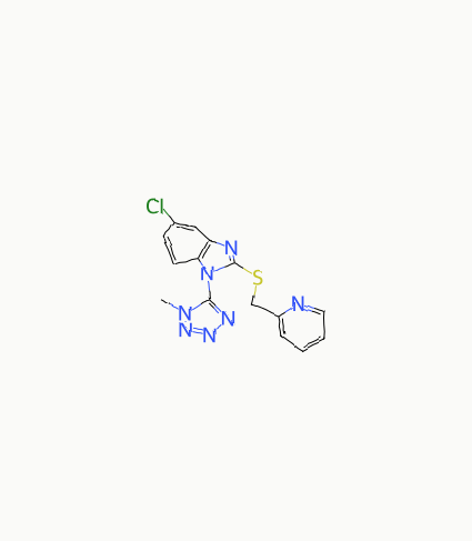 Cn1nnnc1-n1c(SCc2ccccn2)nc2cc(Cl)ccc21